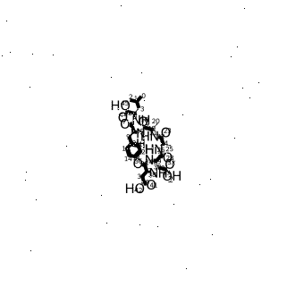 CC(C)C[C@H](NC(=O)[C@H](Cc1ccccc1)NC(=O)[C@H](C)NC(=O)[C@H](C)NC(=O)[C@H](CC(=O)O)NC(=O)[C@@H](N)CC(=O)O)C(=O)O